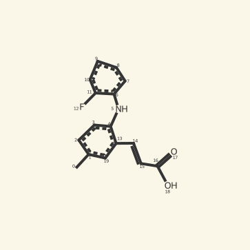 Cc1ccc(Nc2ccccc2F)c(C=CC(=O)O)c1